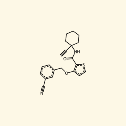 C#CC1(NC(=O)c2sccc2OCc2cccc(C#N)c2)CCCCC1